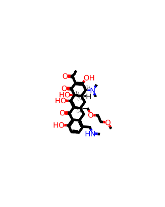 CNCc1ccc(O)c2c1C[C@@]1(COCCOC)C[C@H]3[C@H](N(C)C)C(O)=C(C(C)=O)C(=O)[C@@]3(O)C(O)=C1C2=O